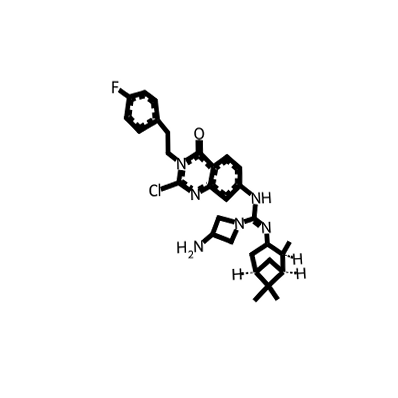 C[C@@H]1C(/N=C(/Nc2ccc3c(=O)n(CCc4ccc(F)cc4)c(Cl)nc3c2)N2CC(N)C2)C[C@H]2C[C@@H]1C2(C)C